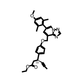 CC#C[C@@H](CC(=O)OCC)c1ccc(OCc2cc(-c3c(C)cc(OC)cc3C)cn3ncnc23)cc1